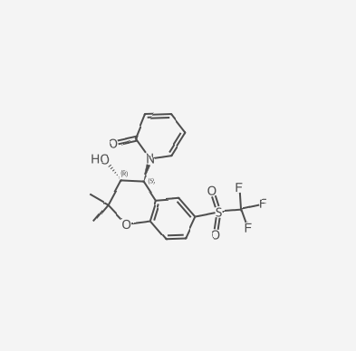 CC1(C)Oc2ccc(S(=O)(=O)C(F)(F)F)cc2[C@H](n2ccccc2=O)[C@H]1O